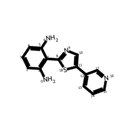 Nc1cccc(N)c1-c1ncc(-c2cccnc2)s1